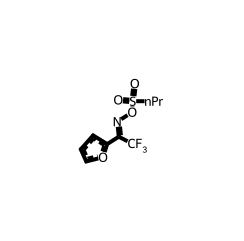 CCCS(=O)(=O)ON=C(c1ccco1)C(F)(F)F